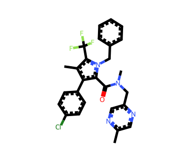 Cc1cnc(CN(C)C(=O)c2c(-c3ccc(Cl)cc3)c(C)c(C(F)(F)F)n2Cc2ccccc2)cn1